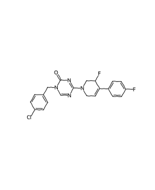 O=c1nc(N2CC=C(c3ccc(F)cc3)C(F)C2)ncn1Cc1ccc(Cl)cc1